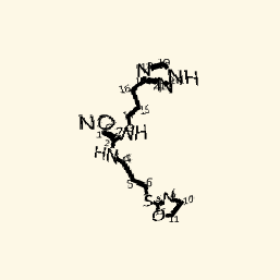 O=[N+]([O-])C=C(NCCCSc1ncco1)NCCCc1nc[nH]n1